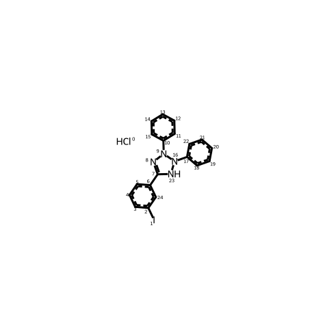 Cl.Ic1cccc(C2=NN(c3ccccc3)N(c3ccccc3)N2)c1